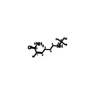 CC(=CCCCNC(C)(C)C)C(N)=O